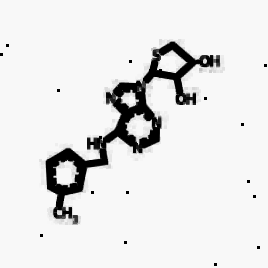 Cc1cccc(CNc2ncnc3c2ncn3C2SC[C@H](O)C2O)c1